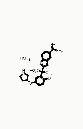 CCc1ccc(O[C@H]2CCNC2)cc1C(C)(C(=O)O)c1cc2cc(C(=N)N)ccc2s1.Cl.Cl